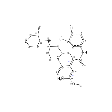 C=C(Nc1ccc(Cl)c(Cl)c1)/C(C)=C(\N=C(/N)OC)C(=O)N1CCC(NC2CCOCC2F)CC1